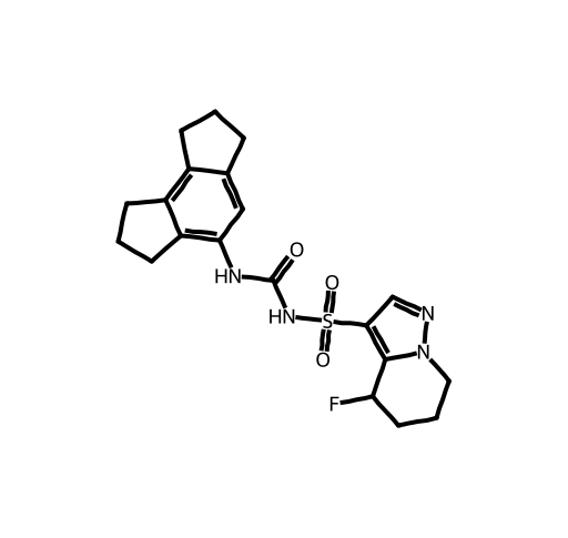 O=C(Nc1cc2c(c3c1CCC3)CCC2)NS(=O)(=O)c1cnn2c1C(F)CCC2